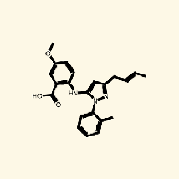 C/C=C/Cc1cc(Nc2ccc(OC)cc2C(=O)O)n(-c2ccccc2C)n1